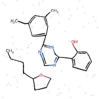 CCCCC1CCCO1.Cc1cc(C)cc(-c2ncnc(-c3ccccc3O)n2)c1